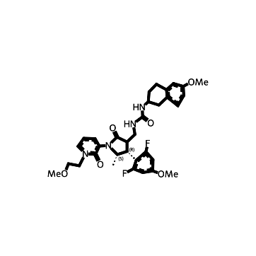 COCCn1cccc(N2C(=O)C(CNC(=O)NC3CCc4cc(OC)ccc4C3)[C@H](c3c(F)cc(OC)cc3F)[C@@H]2C)c1=O